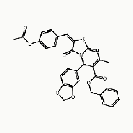 CC(=O)Oc1ccc(/C=c2/sc3n(c2=O)C(c2ccc4c(c2)OCO4)C(C(=O)OCc2ccccc2)=C(C)N=3)cc1